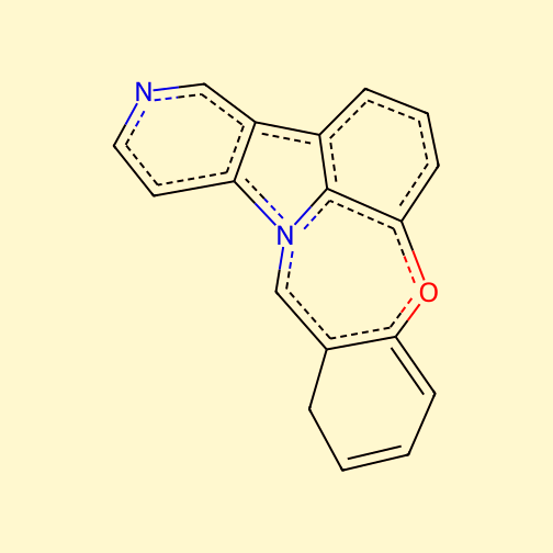 C1=CCc2cn3c4ccncc4c4cccc(oc2=C1)c43